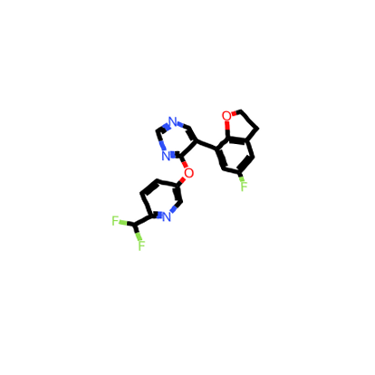 Fc1cc2c(c(-c3cncnc3Oc3ccc(C(F)F)nc3)c1)OCC2